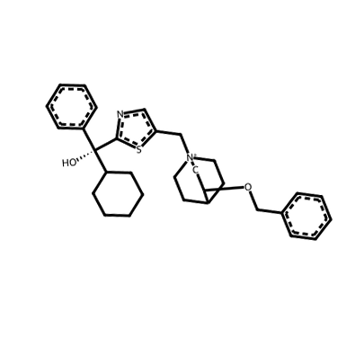 O[C@](c1ccccc1)(c1ncc(C[N+]23CCC(CC2)C(OCc2ccccc2)C3)s1)C1CCCCC1